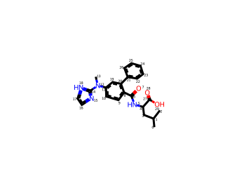 CC(C)CC(NC(=O)c1ccc(N(C)c2ncc[nH]2)cc1-c1ccccc1)C(=O)O